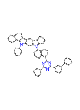 C1=CCC(n2c3cc4c(cc3c3ccc5ccccc5c32)c2ccccc2n4-c2cccc3c(-c4nc(-c5ccccc5)nc(-c5cccc(-c6ccccc6)c5)n4)cccc23)C=C1